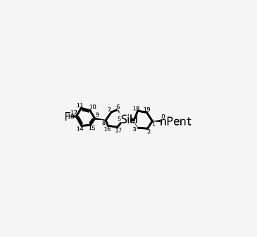 CCCCC[C@H]1CC[C@H]([Si@H]2CC[C@H](c3ccc(F)cc3)CC2)CC1